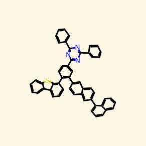 c1ccc(-c2nc(-c3ccccc3)nc(-c3ccc(-c4cccc5c4sc4ccccc45)c(-c4ccc5cc(-c6cccc7ccccc67)ccc5c4)c3)n2)cc1